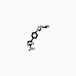 CNc1nc(-c2ccc(/N=C/NC#N)cc2)cs1